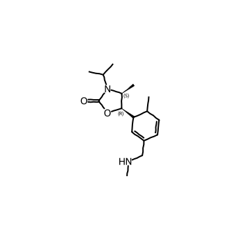 CNCC1=CC([C@H]2OC(=O)N(C(C)C)[C@H]2C)C(C)C=C1